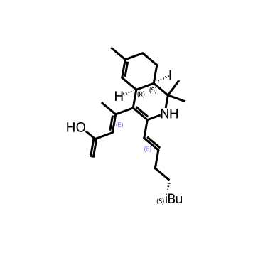 C=C(O)/C=C(\C)C1=C(/C=C/CC[C@@H](C)CC)NC(C)(C)[C@]2(I)CCC(C)=C[C@H]12